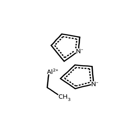 C[CH2][Al+2].c1cc[n-]c1.c1cc[n-]c1